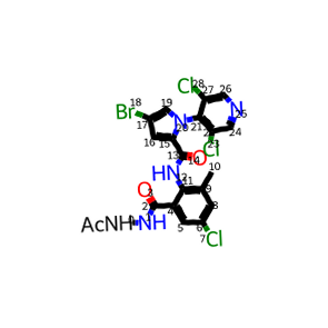 CC(=O)NNC(=O)c1cc(Cl)cc(C)c1NC(=O)c1cc(Br)cn1-c1c(Cl)cncc1Cl